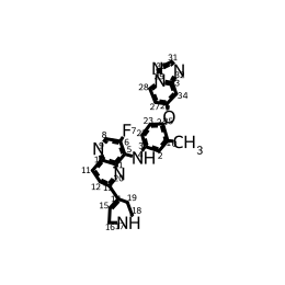 Cc1cc(Nc2c(F)cnc3ccc(C4=CCNCC4)nc23)ccc1Oc1ccn2ncnc2c1